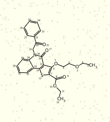 CCOCCOc1c(C(=O)OCC)sc2c1c(=O)n(CC(=O)c1ccccc1)c1ccccc21